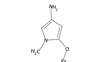 CCOc1cc(N)cn1C